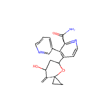 C=C1C(O)CC(c2ccnc(C(N)=O)c2-c2cccnc2)OC12CC2